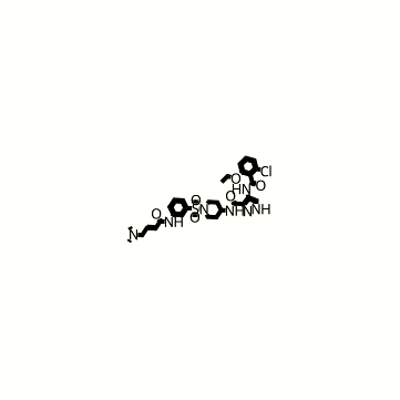 CCOc1cccc(Cl)c1C(=O)Nc1c[nH]nc1C(=O)NC1CCN(S(=O)(=O)c2cccc(NC(=O)/C=C/CN(C)C)c2)CC1